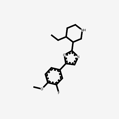 CCC1CCNCC1c1ncc(-c2ccc(OC)c(F)c2)o1